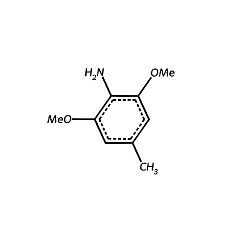 COc1cc(C)cc(OC)c1N